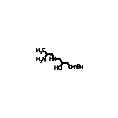 CCCCOCC(O)CNCC(C)N